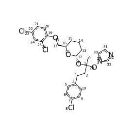 CC(CCc1ccc(Cl)cc1)(O[C@H]1CCC[C@H](COc2ccc(Cl)cc2Cl)O1)On1ccnc1